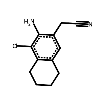 N#CCc1cc2c(c(Cl)c1N)CCCC2